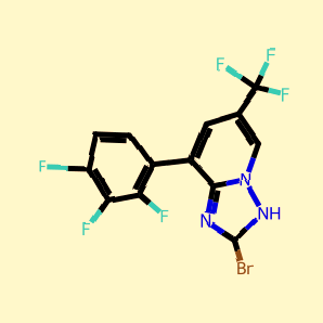 Fc1ccc(C2=CC(C(F)(F)F)=CN3NC(Br)N=C23)c(F)c1F